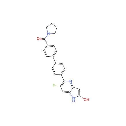 O=C(c1ccc(-c2ccc(-c3nc4cc(O)[nH]c4cc3F)cc2)cc1)N1CCCC1